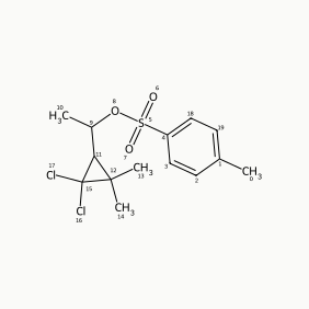 Cc1ccc(S(=O)(=O)OC(C)C2C(C)(C)C2(Cl)Cl)cc1